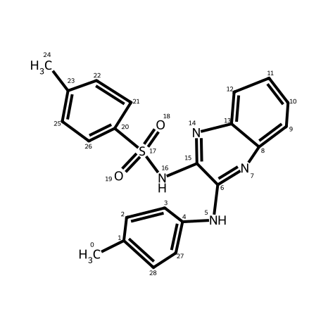 Cc1ccc(Nc2nc3ccccc3nc2NS(=O)(=O)c2ccc(C)cc2)cc1